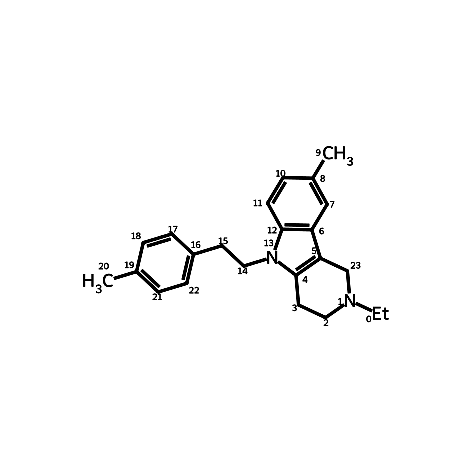 CCN1CCc2c(c3cc(C)ccc3n2CCc2ccc(C)cc2)C1